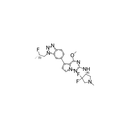 COc1nc(N[C@@H]2CN(C)CC2(F)F)nn2ccc(-c3ccc4nnn(C[C@H](C)F)c4c3)c12